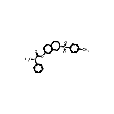 Cc1ccc(S(=O)(=O)N2CCc3ccc(OC(=O)N(C)c4ccccc4)cc3C2)cc1